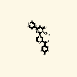 Cn1c(N2CCOC(C(=O)c3ccc(Cl)cc3)C2)nc(-c2ccncc2)cc1=O